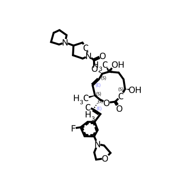 C/C(=C\c1cc(F)cc(N2CCOCC2)c1)[C@H]1OC(=O)C[C@@H](O)CC[C@@](C)(O)[C@@H](OC(=O)N2CCC(N3CCCCC3)CC2)/C=C/[C@@H]1C